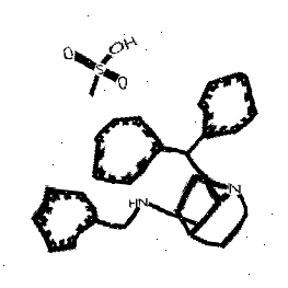 CS(=O)(=O)O.c1ccc(CNC2C3CCN(CC3)C2C(c2ccccc2)c2ccccc2)cc1